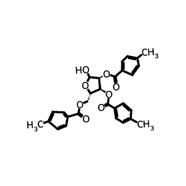 Cc1ccc(C(=O)OC[C@@H]2OC(O)[C@H](OC(=O)c3ccc(C)cc3)[C@H]2OC(=O)c2ccc(C)cc2)cc1